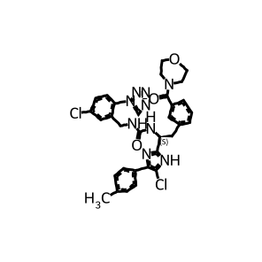 Cc1ccc(-c2nc([C@H](Cc3cccc(C(=O)N4CCOCC4)c3)NC(=O)NCc3cc(Cl)ccc3-n3cnnn3)[nH]c2Cl)cc1